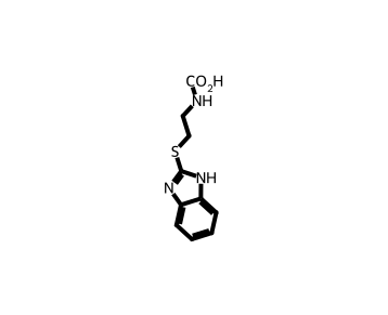 O=C(O)NCCSc1nc2ccccc2[nH]1